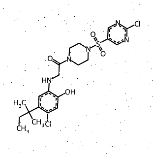 CCC(C)(C)c1cc(NCC(=O)N2CCN(S(=O)(=O)c3cnc(Cl)nc3)CC2)c(O)cc1Cl